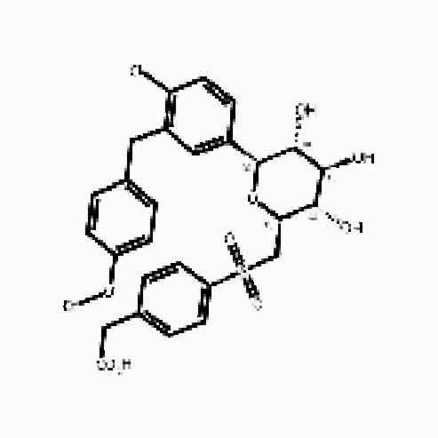 CCOc1ccc(Cc2cc([C@@H]3O[C@H](CS(=O)(=O)c4ccc(CC(=O)O)cc4)[C@@H](O)[C@H](O)[C@H]3O)ccc2Cl)cc1